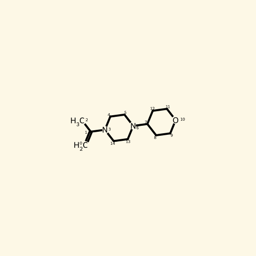 C=C(C)N1CCN(C2CCOCC2)CC1